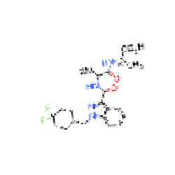 C[C@@H](NC(=O)C(NC(=O)c1nn(CC2CCC(F)(F)CC2)c2ccccc12)C(C)(C)C)C(=O)O